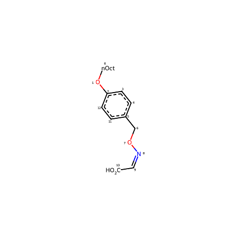 CCCCCCCCOc1ccc(CO/N=C\C(=O)O)cc1